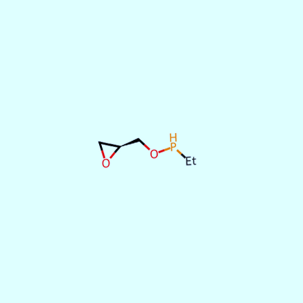 CCPOC[C@@H]1CO1